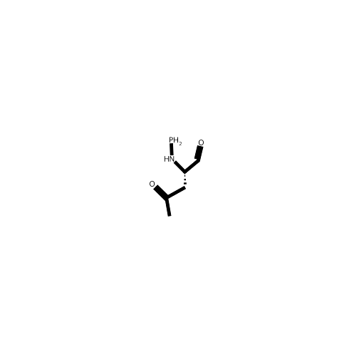 CC(=O)C[C@@H](C=O)NP